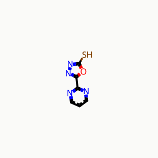 Sc1nnc(-c2ncccn2)o1